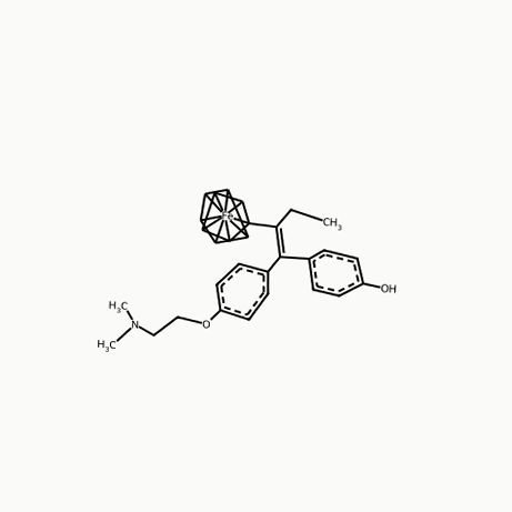 CCC(=C(c1ccc(O)cc1)c1ccc(OCCN(C)C)cc1)[C]12[CH]3[CH]4[CH]5[CH]1[Fe]45321678[CH]2[CH]1[CH]6[CH]7[CH]28